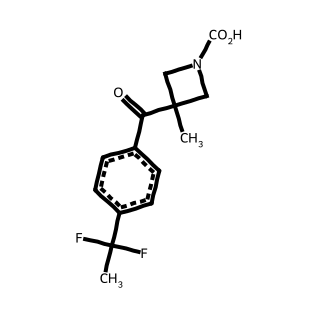 CC1(C(=O)c2ccc(C(C)(F)F)cc2)CN(C(=O)O)C1